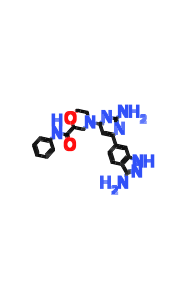 Nc1nc(-c2ccc3c(N)n[nH]c3c2)cc(N2CCOC(C(=O)Nc3ccccc3)C2)n1